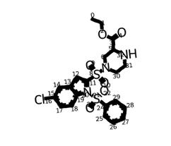 CCOC(=O)C1CN(S(=O)(=O)c2cc3cc(Cl)ccc3n2S(=O)(=O)c2ccccc2)CCN1